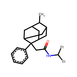 CCC(CC)NC(=O)CC1(c2ccccc2)C2CC3CC1CC(C2)C3C